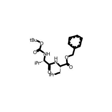 CC(C)C[C@H](NC(=O)[C@@H](NC(=O)OC(C)(C)C)C(C)C)C(=O)OCc1ccccc1